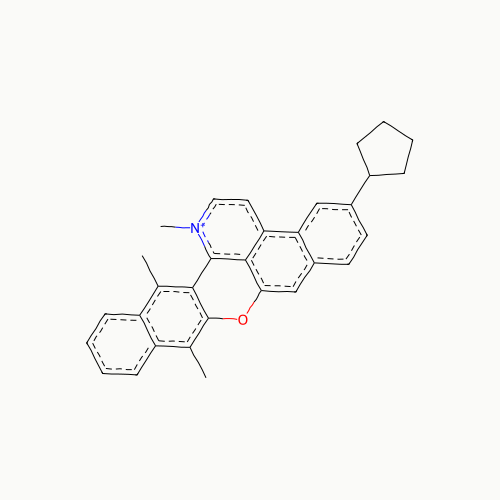 Cc1c2c(c(C)c3ccccc13)-c1c3c(cc4ccc(C5CCCC5)cc4c3cc[n+]1C)O2